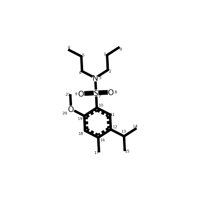 CCCN(CCC)S(=O)(=O)c1cc(C(C)C)c(C)cc1OC